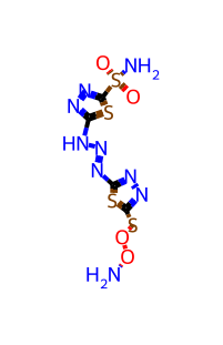 NOOSc1nnc(N=NNc2nnc(S(N)(=O)=O)s2)s1